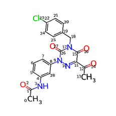 CC(=O)Nc1cccc(-n2nc(C(C)=O)c(=O)n(Cc3ccc(Cl)cc3)c2=O)c1